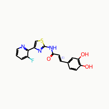 O=C(/C=C/c1ccc(O)c(O)c1)Nc1nc(-c2ncccc2F)cs1